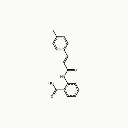 Cc1ccc(/C=C/C(=O)Nc2ccccc2C(=O)O)cc1